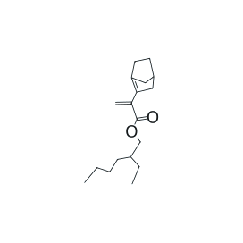 C=C(C(=O)OCC(CC)CCCC)C1=C2CCC(C2)C1